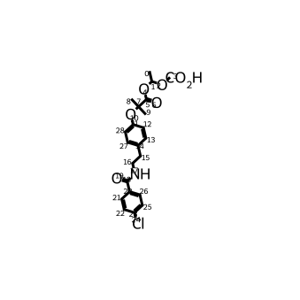 CC(OC(=O)O)OC(=O)C(C)(C)Oc1ccc(CCNC(=O)c2ccc(Cl)cc2)cc1